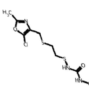 CNC(=O)NSCCSCc1nc(C)oc1Cl